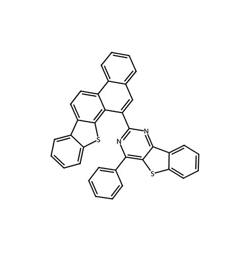 c1ccc(-c2nc(-c3cc4ccccc4c4ccc5c6ccccc6sc5c34)nc3c2sc2ccccc23)cc1